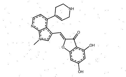 Cn1cc(/C=C2\Oc3cc(O)cc(O)c3C2=O)c2c(C3=CCNCC3)ccnc21